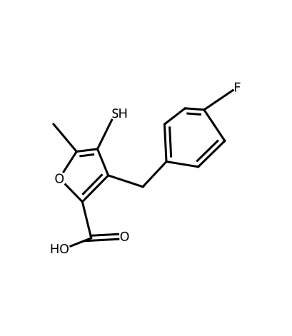 Cc1oc(C(=O)O)c(Cc2ccc(F)cc2)c1S